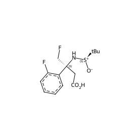 CC(C)(C)[S@@+]([O-])N[C@@](CF)(CC(=O)O)c1ccccc1F